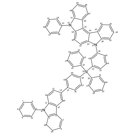 C1=Cc2c(n(-c3ccccc3)c3ccc(-c4ccc([Si](c5ccccc5)(c5ccccc5)c5cccc(-n6c7ccccc7c7c8c9ccccc9n(-c9ccccc9)c8ccc76)c5)cc4)cc23)CC1